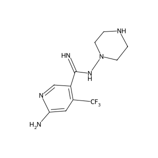 N=C(NN1CCNCC1)c1cnc(N)cc1C(F)(F)F